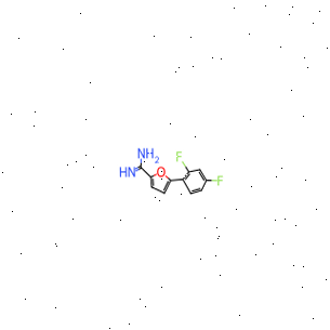 N=C(N)c1ccc(-c2ccc(F)cc2F)o1